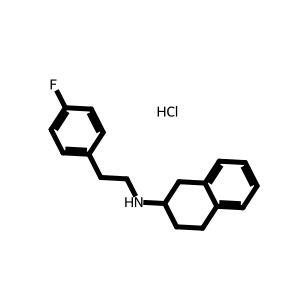 Cl.Fc1ccc(CCNC2CCc3ccccc3C2)cc1